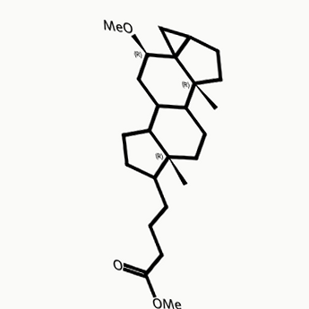 COC(=O)CCCC1CCC2C3C[C@@H](OC)C45CC4CC[C@]5(C)C3CC[C@]12C